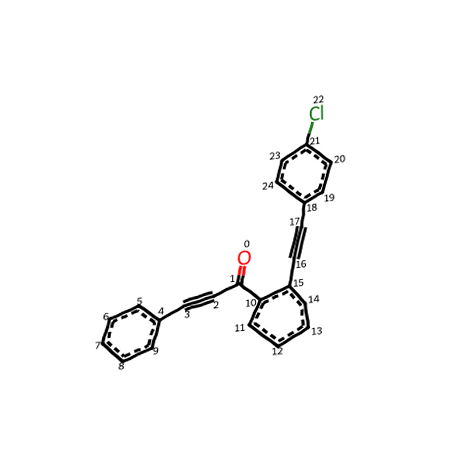 O=C(C#Cc1ccccc1)c1ccccc1C#Cc1ccc(Cl)cc1